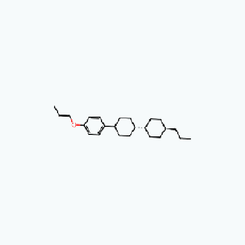 CCCOc1ccc(C2CCC([C@H]3CC[C@H](CCC)CC3)CC2)cc1